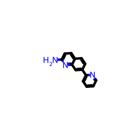 Nc1ccc2ccc(-c3ccccn3)cc2n1